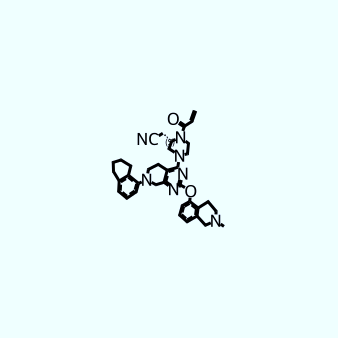 C=CC(=O)N1CCN(c2nc(Oc3cccc4c3CCN(C)C4)nc3c2CCN(c2cccc4c2CCCC4)C3)C[C@@H]1CC#N